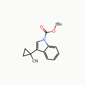 CC(C)(C)OC(=O)n1cc(C2(C#N)CC2)c2ccccc21